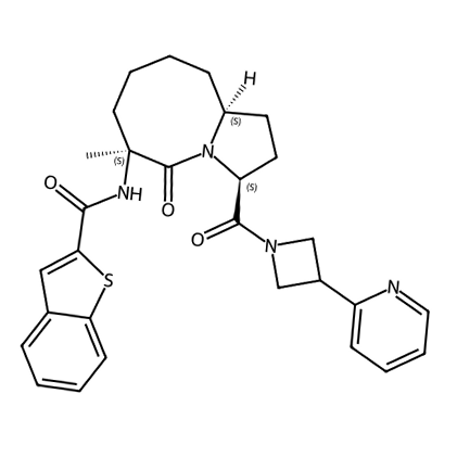 C[C@]1(NC(=O)c2cc3ccccc3s2)CCCC[C@H]2CC[C@@H](C(=O)N3CC(c4ccccn4)C3)N2C1=O